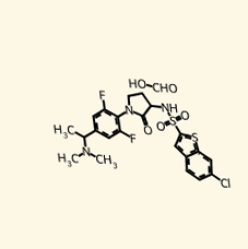 CC(c1cc(F)c(N2CCC(NS(=O)(=O)c3cc4ccc(Cl)cc4s3)C2=O)c(F)c1)N(C)C.O=CO